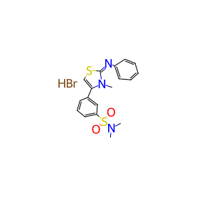 Br.CN(C)S(=O)(=O)c1cccc(-c2csc(=Nc3ccccc3)n2C)c1